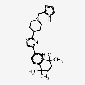 CC1(C)CCC(C)(C)c2cc(-c3csc(C4CCN(Cc5ncc[nH]5)CC4)n3)ccc21